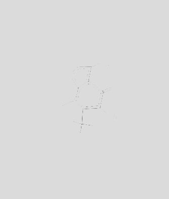 Cc1c(C(F)(F)F)n(C)c2occ(C)c2c1=O